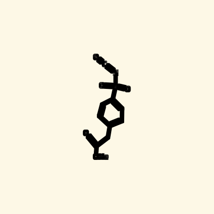 COC(=O)Cc1ccc(S(=O)(=O)N=C=O)cc1